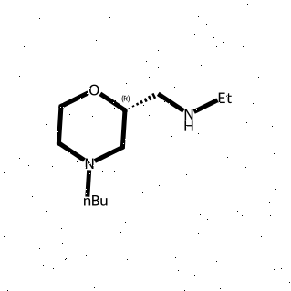 CCCCN1CCO[C@H](CNCC)C1